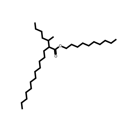 CCCCCCCCCCCCC(C(=O)OCCCCCCCCCC)C(C)CCCC